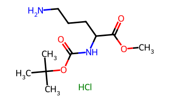 COC(=O)C(CCCN)NC(=O)OC(C)(C)C.Cl